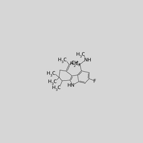 C=C(NC)c1cc(F)cc2[nH]c3c(c12)C(=C(C)C)CC(C)(C)C3C